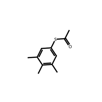 CC(=O)Sc1cc(C)c(C)c(C)c1